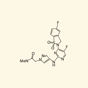 CNC(=O)Cn1cc(Nc2ncc(F)c(N3Cc4cc(F)ccc4S3(=O)=O)n2)cn1